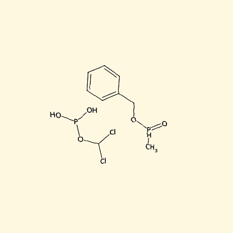 C[PH](=O)OCc1ccccc1.OP(O)OC(Cl)Cl